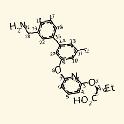 CC[C@@H](Oc1cccc(Oc2cc(C)cc(-c3cccc(CN)c3)c2)n1)C(=O)O